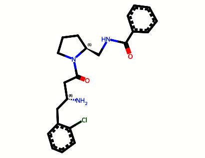 N[C@@H](CC(=O)N1CCC[C@H]1CNC(=O)c1ccccc1)Cc1ccccc1Cl